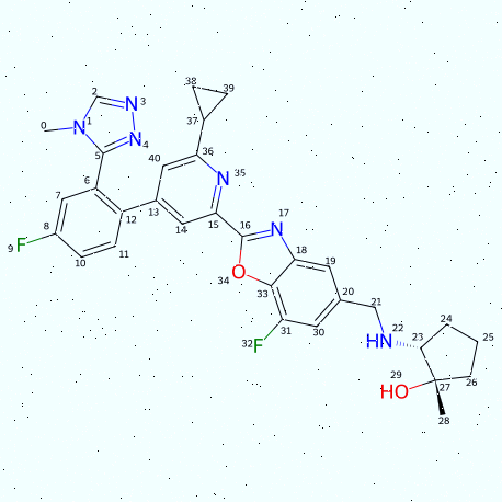 Cn1cnnc1-c1cc(F)ccc1-c1cc(-c2nc3cc(CN[C@@H]4CCC[C@]4(C)O)cc(F)c3o2)nc(C2CC2)c1